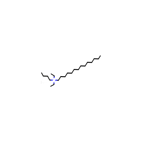 B.CCCCCCCCCCCCCC[N+](CC)(CC)CCCC